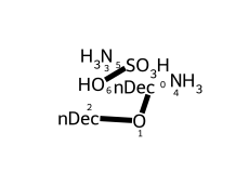 CCCCCCCCCCOCCCCCCCCCC.N.N.O=S(=O)(O)O